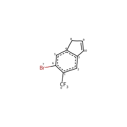 FC(F)(F)c1cc2c(cc1Br)CC=C2